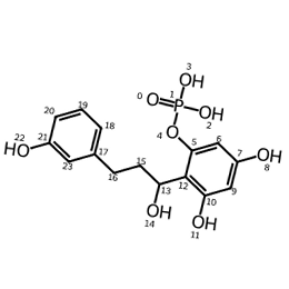 O=P(O)(O)Oc1cc(O)cc(O)c1C(O)CCc1cccc(O)c1